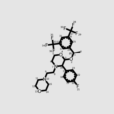 C[C@@H](OC1OCCN(CCN2CCOCC2)C1c1ccc(F)cc1)c1cc(C(F)(F)F)cc(C(F)(F)F)c1